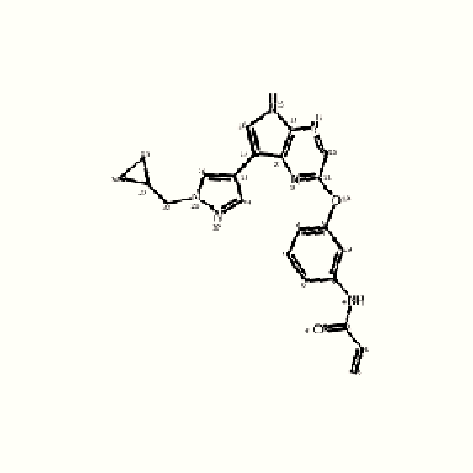 C=CC(=O)Nc1cccc(Oc2cnc3[nH]cc(-c4cnn(CC5CC5)c4)c3n2)c1